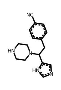 N#Cc1ccc(CC(c2cnc[nH]2)N2CCNCC2)cc1